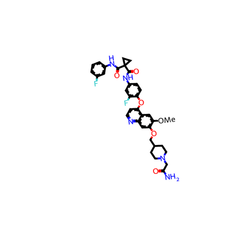 COc1cc2c(Oc3ccc(NC(=O)C4(C(=O)Nc5cccc(F)c5)CC4)cc3F)ccnc2cc1OCC1CCN(CC(N)=O)CC1